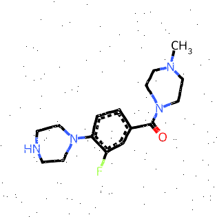 CN1CCN(C(=O)c2ccc(N3CCNCC3)c(F)c2)CC1